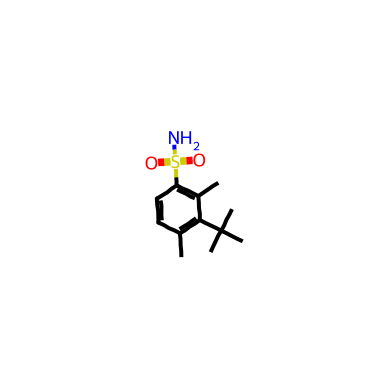 Cc1ccc(S(N)(=O)=O)c(C)c1C(C)(C)C